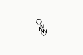 C1=NN(N=Nc2ccccc2)CC1